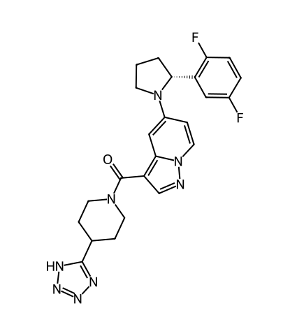 O=C(c1cnn2ccc(N3CCC[C@@H]3c3cc(F)ccc3F)cc12)N1CCC(c2nnn[nH]2)CC1